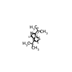 CC(C)c1csn2c(C(C)C)ncc12